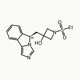 CCS(=O)(=O)N1CC(O)(C[C@@H]2c3ccccc3-c3cncn32)C1